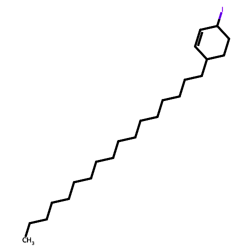 CCCCCCCCCCCCCCCCCC1C=CC(I)CC1